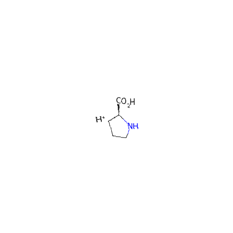 O=C(O)[C@@H]1CCCN1.[H+]